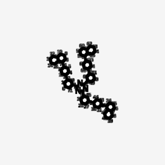 c1cc(-c2ccc(-c3cccc4ccccc34)cc2)cc(-c2nc(-c3cccc(-c4ccc(-c5cccc6ccccc56)cc4)c3)nc(-c3cccc(-c4ccc(-c5cccc6ccccc56)cc4)c3)n2)c1